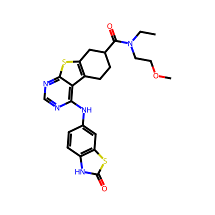 CCN(CCOC)C(=O)C1CCc2c(sc3ncnc(Nc4ccc5[nH]c(=O)sc5c4)c23)C1